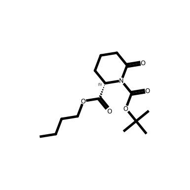 CCCCOC(=O)[C@@H]1CCCC(=O)N1C(=O)OC(C)(C)C